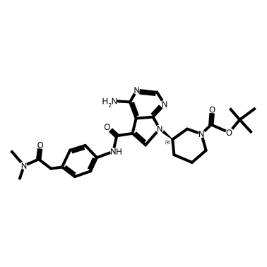 CN(C)C(=O)Cc1ccc(NC(=O)c2cn([C@@H]3CCCN(C(=O)OC(C)(C)C)C3)c3ncnc(N)c23)cc1